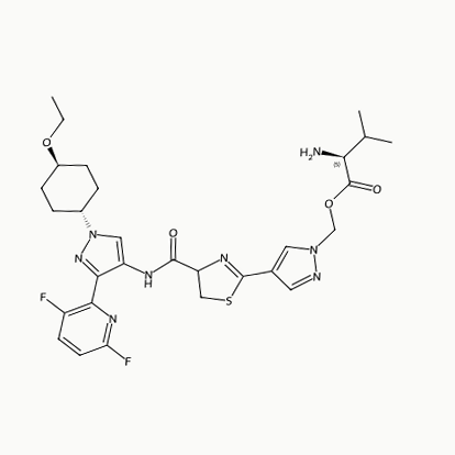 CCO[C@H]1CC[C@H](n2cc(NC(=O)C3CSC(c4cnn(COC(=O)[C@@H](N)C(C)C)c4)=N3)c(-c3nc(F)ccc3F)n2)CC1